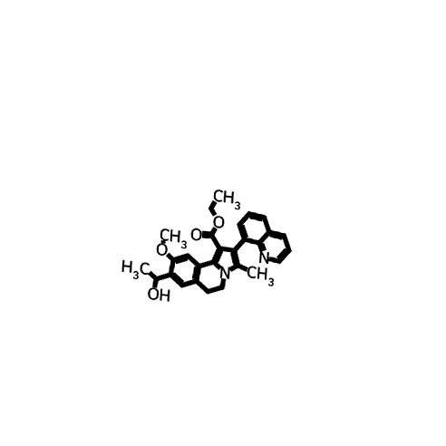 CCOC(=O)c1c(-c2cccc3cccnc23)c(C)n2c1-c1cc(OC)c(C(C)O)cc1CC2